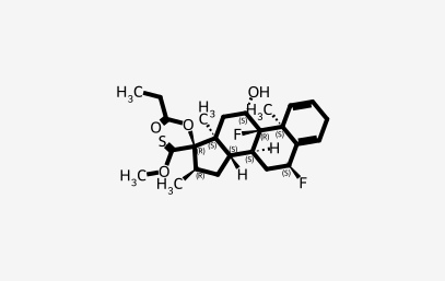 CCC(=O)O[C@]1(C(=S)OC)[C@H](C)C[C@H]2[C@@H]3C[C@H](F)C4=CCC=C[C@]4(C)[C@@]3(F)[C@@H](O)C[C@@]21C